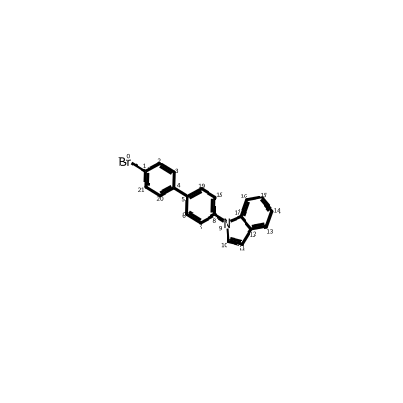 Brc1ccc(-c2ccc(-n3ccc4ccccc43)cc2)cc1